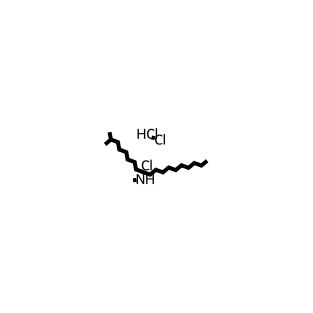 CCCCCCCCCCC(Cl)(CCCCCCC(C)C)NC.CCl.Cl